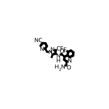 Cc1c(NC(=O)c2cc(C(N)=O)nc3cccc(F)c23)c(C(F)(F)F)nn1Cc1ccc(C#N)cn1